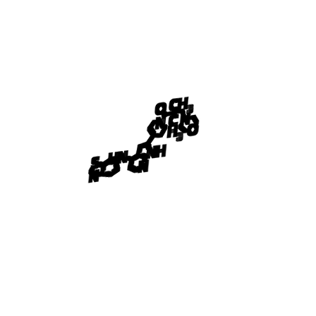 CC(C)(CN1CCOCC1)C(=O)N1CC=C(c2cc3c(Nc4ccc5ncsc5c4)ccnc3[nH]2)CC1